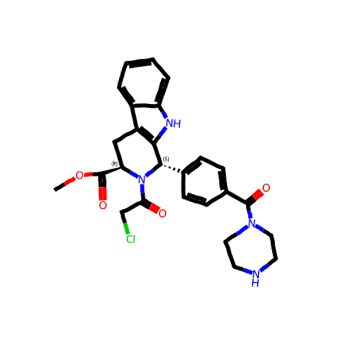 COC(=O)[C@H]1Cc2c([nH]c3ccccc23)[C@H](c2ccc(C(=O)N3CCNCC3)cc2)N1C(=O)CCl